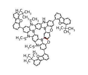 CSN1c2cc3c(cc2B2c4ccccc4Oc4cc(-c5cccc6c5oc5c(C(C)(C)C)cccc56)cc1c42)B1c2cc4c(cc2N(SC)c2cc(-c5cccc6c5oc5c(C(C)(C)C)cccc56)cc(c21)N3SC)Nc1cc(-c2cccc3c2oc2c(C(C)(C)C)cccc23)cc2c1B4c1ccccc1O2